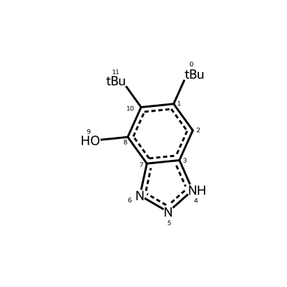 CC(C)(C)c1cc2[nH]nnc2c(O)c1C(C)(C)C